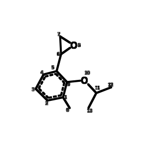 Cc1cccc(C2CO2)c1OC(C)C